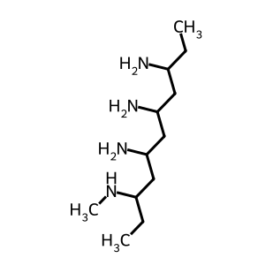 CCC(N)CC(N)CC(N)CC(CC)NC